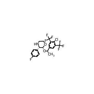 C[C@@H](O[C@H]1OCCN[C@H]1c1ccc(F)cc1)c1cc(C(F)(F)F)c(Cl)c(C(F)(F)F)c1